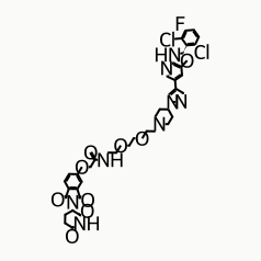 O=C(COc1ccc2c(c1)C(=O)N(C1CCC(=O)NC1=O)C2=O)NCCOCCOCCN1CCC(n2cc(-c3cnc4c(c3)O[C@@H](c3c(Cl)ccc(F)c3Cl)N4)cn2)CC1